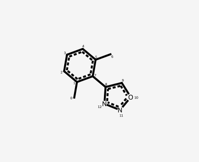 Cc1cccc(C)c1-c1conn1